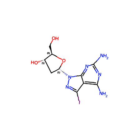 Nc1nc(N)c2c(I)nn([C@@H]3C[C@H](O)[C@@H](CO)O3)c2n1